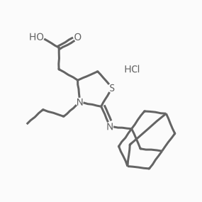 CCCN1/C(=N/C23CC4CC(CC(C4)C2)C3)SCC1CC(=O)O.Cl